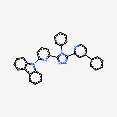 c1ccc(-c2ccnc(-c3nnc(-c4cccc(-n5c6ccccc6c6ccccc65)n4)n3-c3ccccc3)c2)cc1